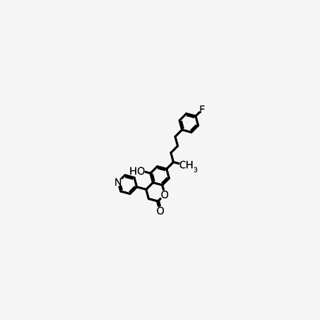 CC(CCCc1ccc(F)cc1)c1cc(O)c2c(c1)OC(=O)CC2c1ccncc1